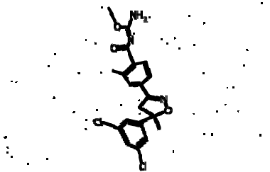 CO/C(N)=N\C(=O)c1ccc(C2=NOC(C)(c3cc(Cl)cc(Cl)c3)C2)cc1C